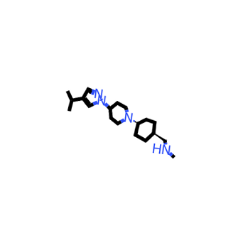 CNC[C@H]1CC[C@H](N2CCC(n3cc(C(C)C)cn3)CC2)CC1